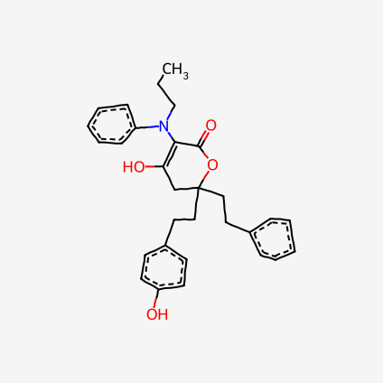 CCCN(C1=C(O)CC(CCc2ccccc2)(CCc2ccc(O)cc2)OC1=O)c1ccccc1